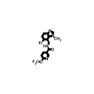 CCc1ccc2ncn(C)c2c1CNC(=O)c1ccc(OC(F)(F)F)nc1